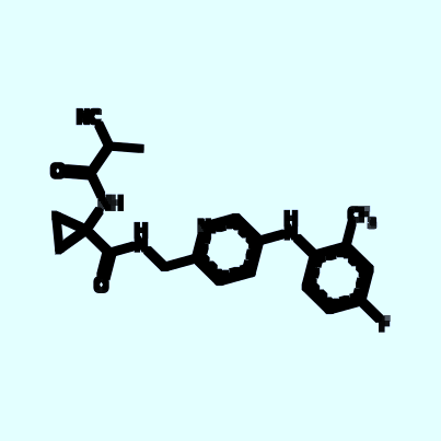 CC(C#N)C(=O)NC1(C(=O)NCc2ccc(Nc3ccc(F)cc3C(F)(F)F)cn2)CC1